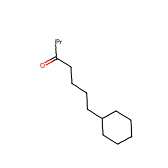 CC(C)C(=O)CCCCC1CCCCC1